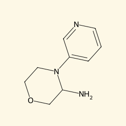 NC1COCCN1c1cccnc1